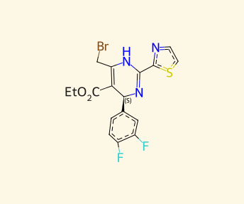 CCOC(=O)C1=C(CBr)NC(c2nccs2)=N[C@H]1c1ccc(F)c(F)c1